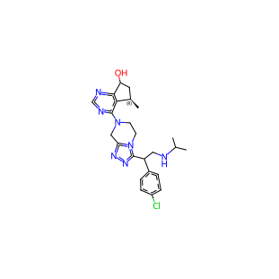 CC(C)NCC(c1ccc(Cl)cc1)c1nnc2n1CCN(c1ncnc3c1[C@H](C)CC3O)C2